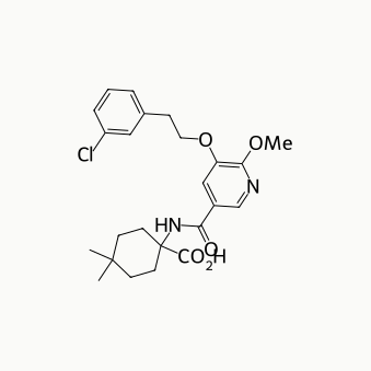 COc1ncc(C(=O)NC2(C(=O)O)CCC(C)(C)CC2)cc1OCCc1cccc(Cl)c1